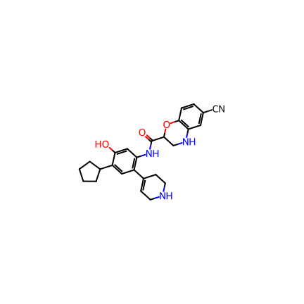 N#Cc1ccc2c(c1)NCC(C(=O)Nc1cc(O)c(C3CCCC3)cc1C1=CCNCC1)O2